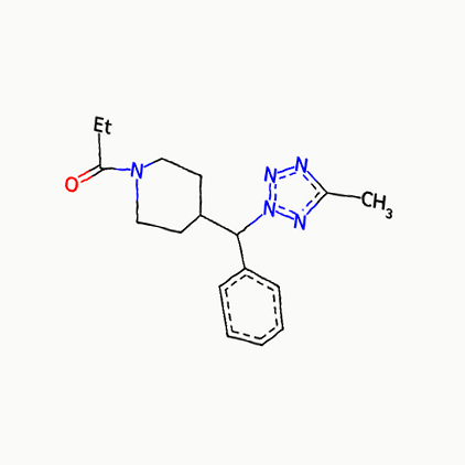 CCC(=O)N1CCC(C(c2ccccc2)n2nnc(C)n2)CC1